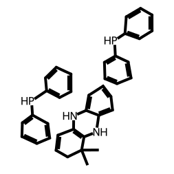 CC1(C)CC=CC2=C1Nc1ccccc1N2.c1ccc(Pc2ccccc2)cc1.c1ccc(Pc2ccccc2)cc1